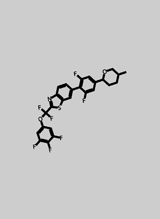 CC1CCC(c2cc(F)c(-c3ccc4nc(C(F)(F)Oc5cc(F)c(F)c(F)c5)sc4c3)c(F)c2)OC1